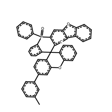 Cc1cccc(-c2ccc3c(c2)Oc2ccccc2C32c3ccccc3P(=O)(c3ccccc3)c3cc4oc5ccccc5c4cc32)c1